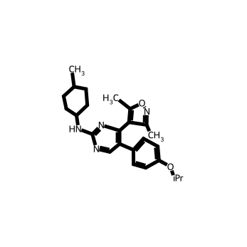 Cc1noc(C)c1-c1nc(NC2CCC(C)CC2)ncc1-c1ccc(OC(C)C)cc1